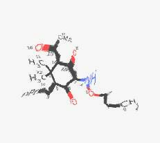 C=CCONC1C(=O)C(=CCCC)C(C)(C)C(C(=O)OC)C1=O